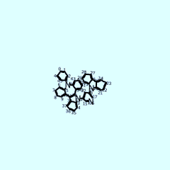 c1ccc(N2c3ccccc3-c3c(n(-c4cncc(-n5c6ccccc6c6ccccc65)c4)c4ccccc34)-c3ccccc32)cc1